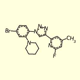 Cc1cc(F)nc(-c2cn(-c3ccc(Br)cc3N3CCCCC3)nn2)c1